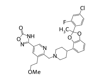 COCCc1cc(-c2noc(=O)[nH]2)cnc1CN1CCC(c2cccc3c2OC(C)(c2ccc(Cl)cc2F)O3)CC1